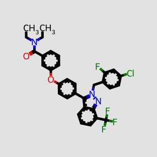 CCN(CC)C(=O)c1cccc(Oc2ccc(-c3c4cccc(C(F)(F)F)c4nn3Cc3ccc(Cl)cc3F)cc2)c1